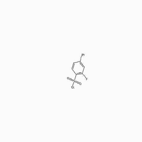 CCS(=O)(=O)c1ccc(C(C)C)cc1F